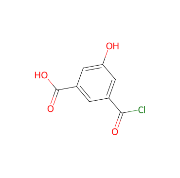 O=C(O)c1cc(O)cc(C(=O)Cl)c1